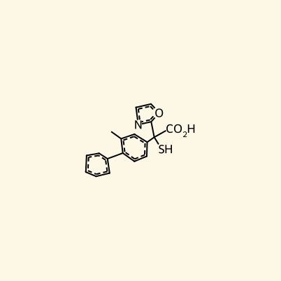 Cc1cc(C(S)(C(=O)O)c2ncco2)ccc1-c1ccccc1